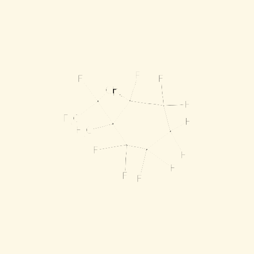 FC(F)(F)C(F)(C(F)(F)F)C1(C(F)(F)F)C(F)(F)C(F)(F)C(F)(F)C(F)(F)C1(F)F